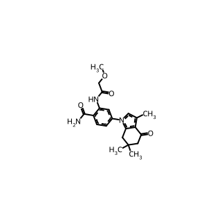 COCC(=O)Nc1cc(-n2cc(C)c3c2CC(C)(C)CC3=O)ccc1C(N)=O